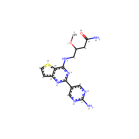 CCCOC(CNc1nc(-c2cnc(N)nc2)nc2ccsc12)CC(N)=O